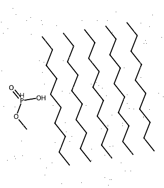 CCCCCCCCCC.CCCCCCCCCC.CCCCCCCCCC.CCCCCCCCCC.CCCCCCCCCC.CO[PH](=O)O